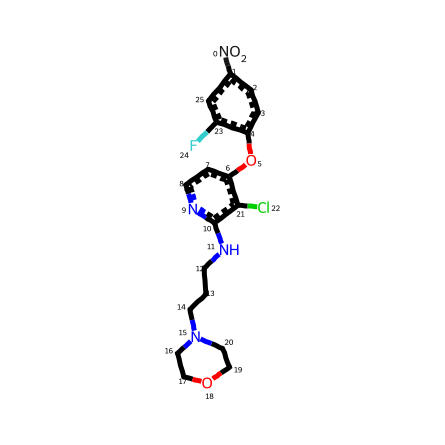 O=[N+]([O-])c1ccc(Oc2ccnc(NCCCN3CCOCC3)c2Cl)c(F)c1